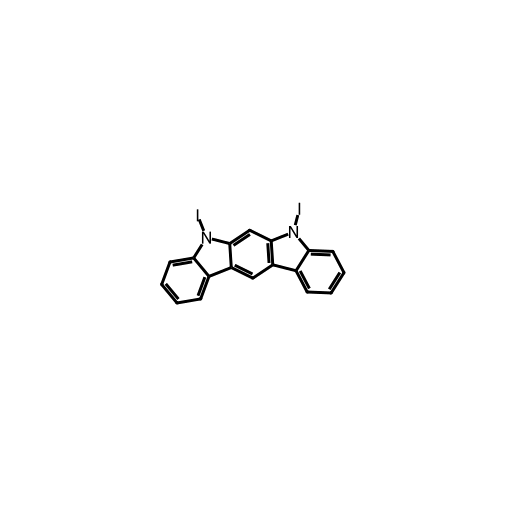 In1c2ccccc2c2cc3c4ccccc4n(I)c3cc21